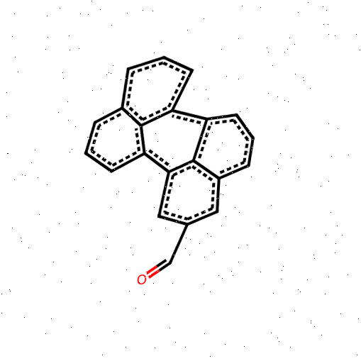 O=Cc1cc2cccc3c4cccc5cccc(c(c1)c23)c54